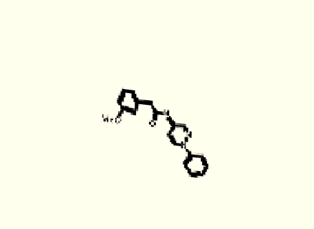 COc1cccc(CC(=O)N=c2ccn(-c3ccccc3)nc2)c1